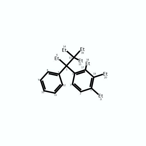 CCc1ccc(C(CC)(c2ccccc2)C(CC)(CC)CC)c(CC)c1CC